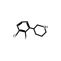 Fc1c(Cl)cccc1C1CCCNC1